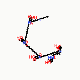 CCCCCCCC/C=C/CCCCCCCC(=O)N(CCCCCCCCCCCCCCCC=CC(=O)N(CCCCCCCCCCCCCCCC=CC(=O)N(CCCCCCCCCCCCCCCC=CC(=O)N(Cc1ccc(O)c(OC)c1)CC(C)CCCCC=CC(=O)NCc1ccc(O)c(OC)c1)Cc1ccc(O)c(OC)c1)Cc1ccc(O)c(OC)c1)Cc1ccc(O)c(OC)c1